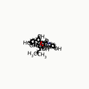 CC(C)=CCc1cc(C(=O)C2C(c3cc(C(=O)/C=C/c4ccc(O)cc4O)c(O)cc3O)C=C(C)CC2c2ccc(O)c(O)c2)c(O)cc1O